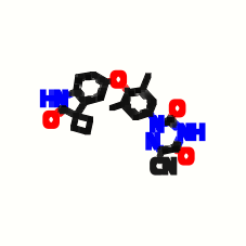 Cc1cc(-n2nc(C#N)c(=O)[nH]c2=O)cc(C)c1Oc1ccc2c(c1)C1(CCC1)C(=O)N2